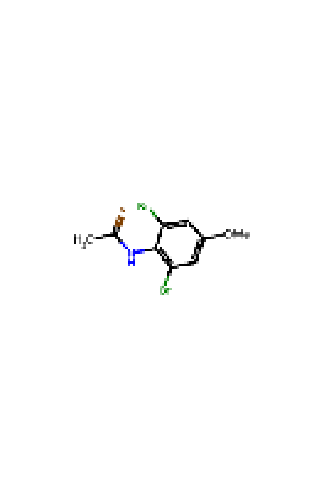 COc1cc(Br)c(NC(C)=S)c(Br)c1